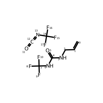 C=CCNC(=O)NC(F)(F)F.O=C=NC(F)(F)F